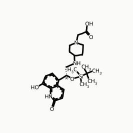 CC(C)(C)[Si](C)(C)O[C@@H](CNC1CCN(CC(=O)O)CC1)c1ccc(O)c2[nH]c(=O)ccc12